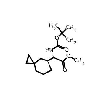 COC(=O)[C@@H](NC(=O)OC(C)(C)C)[C@H]1CCCC2(CC2)C1